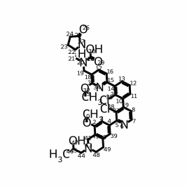 COc1cc(-c2nccc(-c3cccc(-c4ccc(CN(C[C@@H]5CCC(=O)N5)C(=O)O)c(OC)n4)c3Cl)c2Cl)cc2c1CN(C[C@H](C)O)CC2